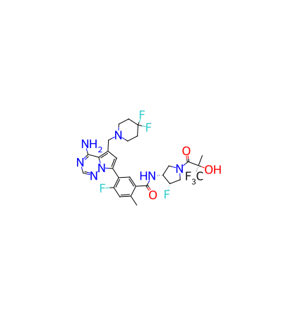 Cc1cc(F)c(-c2cc(CN3CCC(F)(F)CC3)c3c(N)ncnn23)cc1C(=O)N[C@@H]1CN(C(=O)[C@@](C)(O)C(F)(F)F)C[C@@H]1F